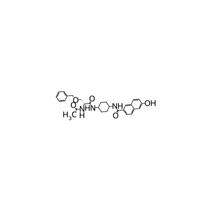 CC(=O)N[C@H](COCc1ccccc1)C(=O)NC1CCC(NC(=O)c2ccc3cc(O)ccc3c2)CC1